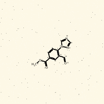 COC(=O)c1ccc(-n2cncn2)c(C=O)c1